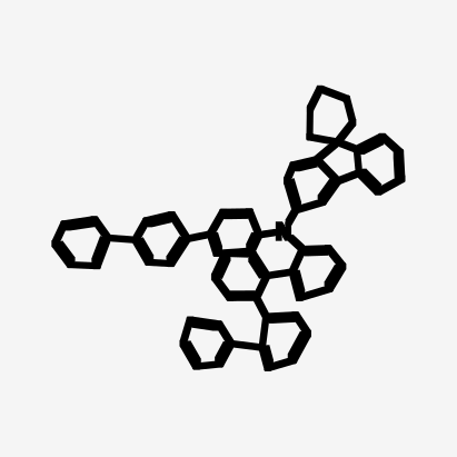 c1ccc(-c2ccc(-c3ccc(N(c4ccc5c(c4)-c4ccccc4C54CCCCC4)c4ccccc4-c4ccccc4-c4ccccc4-c4ccccc4)cc3)cc2)cc1